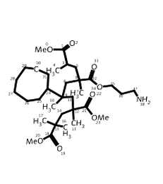 COC(=O)C(C)CC(C)(CC(C)(CC(C)(CC(C)(C)C(=O)OC)C(=O)OC)C1CCCCCCC1)C(=O)OCCCN